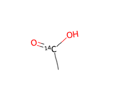 C[14C](=O)O